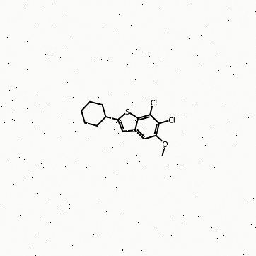 COc1cc2cc(C3CCCCC3)sc2c(Cl)c1Cl